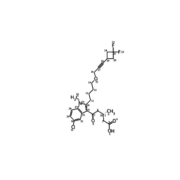 C[C@H](CC(=O)O)CC(=O)c1c(CCCCOCC#CC2CC(F)(F)C2)n(C)c2ccc(Cl)cc12